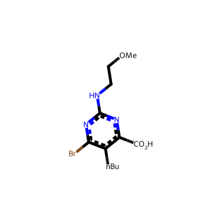 CCCCc1c(Br)nc(NCCOC)nc1C(=O)O